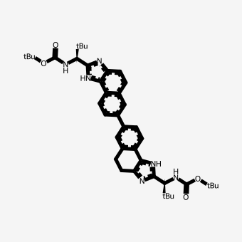 CC(C)(C)OC(=O)N[C@H](c1nc2c([nH]1)-c1ccc(-c3ccc4c(ccc5nc([C@@H](NC(=O)OC(C)(C)C)C(C)(C)C)[nH]c54)c3)cc1CC2)C(C)(C)C